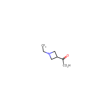 O=C(O)C(=O)C1CN(CC(F)(F)F)C1